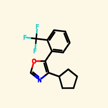 FC(F)(F)c1ccccc1-c1ocnc1C1CCCC1